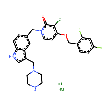 Cl.Cl.O=c1c(Cl)c(OCc2ccc(F)cc2F)ccn1Cc1ccc2[nH]cc(CN3CCNCC3)c2c1